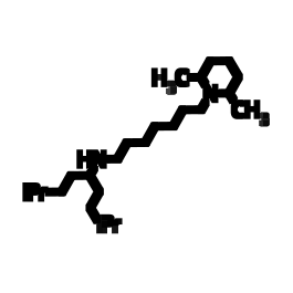 CC(C)CCC(CCC(C)C)NCCCCCCCN1C(C)CCCC1C